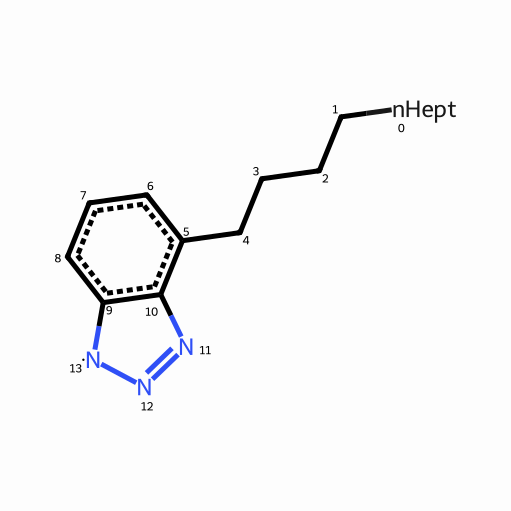 CCCCCCCCCCCc1cccc2c1N=N[N]2